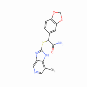 Cc1cncc2nc(SC(C(N)=O)c3ccc4c(c3)OCO4)[nH]c12